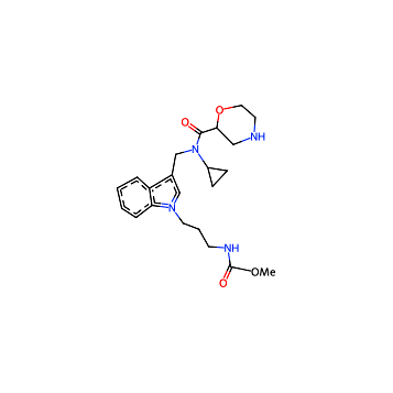 COC(=O)NCCCn1cc(CN(C(=O)C2CNCCO2)C2CC2)c2ccccc21